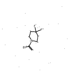 C=C(CC)N1CCC(F)(F)CC1